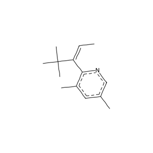 C/C=C(\c1ncc(C)cc1C)C(C)(C)C